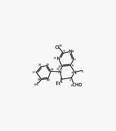 CCC1C(C=O)N(C)c2cnc(Cl)nc2N1c1cccc(I)c1